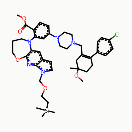 COC(=O)c1ccc(N2CCN(CC3=C(c4ccc(Cl)cc4)CCC(C)(OC)C3)CC2)cc1N1CCCOc2nc3c(ccn3COCC[Si](C)(C)C)cc21